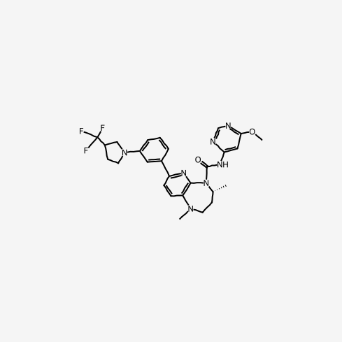 COc1cc(NC(=O)N2c3nc(-c4cccc(N5CCC(C(F)(F)F)C5)c4)ccc3N(C)CC[C@H]2C)ncn1